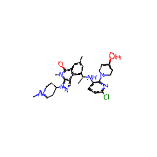 Cc1cc(C(C)Nc2ccc(Cl)nc2N2CCC(O)CC2)c2c(c1)c(=O)n(C)c1c2cnn1C1CCN(C)CC1